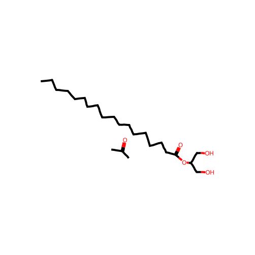 CC(C)=O.CCCCCCCCCCCCCCCCCC(=O)OC(CO)CO